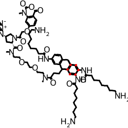 CN(CCOCCOCCN(C)C(=O)[C@@H]1C[C@H](N=[N+]=[N-])CN1C(=O)COc1ccc2c(=O)oc(=O)n(C)c2c1)C(=O)CCC12c3ccc(NC(=O)CCCCCCCN)cc3C(c3ccc(NC(=O)CCCCCCCN)cc31)c1ccc(NC(=O)CCCCCCCN)cc12